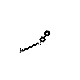 CN(C)CCCCCCCCOc1ccc(-c2ccccc2)cc1